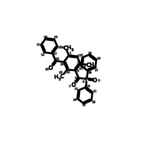 Cc1cc(C)c(C(=O)P(=O)(c2ccccc2)c2ccccc2)c(C)c1C(=O)c1ccccc1